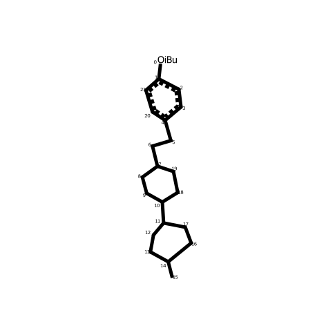 CC(C)COc1ccc(CCC2CCC(C3CCC(C)CC3)CC2)cc1